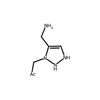 CC(=O)CN1NNC=C1CN